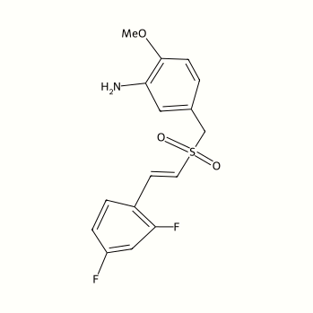 COc1ccc(CS(=O)(=O)C=Cc2ccc(F)cc2F)cc1N